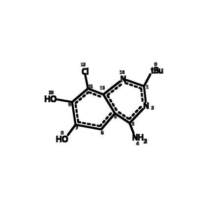 CC(C)(C)c1nc(N)c2cc(O)c(O)c(Cl)c2n1